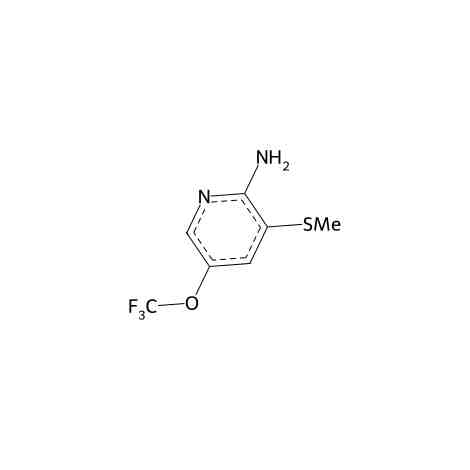 CSc1cc(OC(F)(F)F)cnc1N